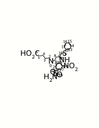 CN(CCCCC(=O)O)CCC(CSc1ccccc1)Nc1ccc(S(N)(=O)=O)cc1[N+](=O)[O-]